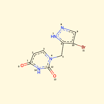 O=c1ccn(Cc2[nH]ncc2Br)c(=O)[nH]1